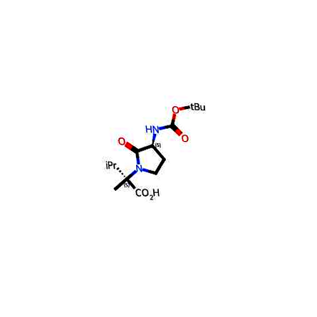 CC(C)[C@@](C)(C(=O)O)N1CC[C@H](NC(=O)OC(C)(C)C)C1=O